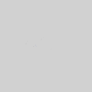 [Li][C](=CCC)N(CC)CC